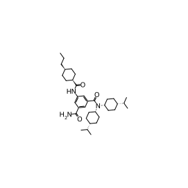 CCC[C@H]1CC[C@@H](C(=O)Nc2cc(C(N)=O)cc(C(=O)N([C@H]3CC[C@@H](C(C)C)CC3)[C@H]3CC[C@@H](C(C)C)CC3)c2)CC1